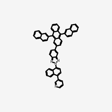 c1cncc(-c2ccc(-n3nc4ccc(-c5ccc6c(-c7ccc8ccccc8c7)c7ccccc7c(-c7ccc8ccccc8c7)c6c5)cc4n3)c3ccccc23)c1